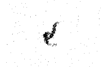 CCC[C@H]1CC[C@H](C2CC=C(c3cnc(-c4ccc(C[C@H](NC(=O)c5ccc(C(C)(C)C)s5)C(=O)N5CC(C(=O)O)C5)cc4)nc3)C(C)C2)CC1